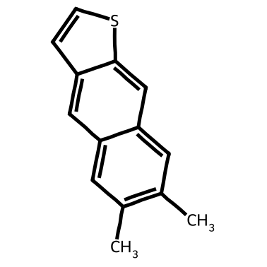 Cc1cc2cc3ccsc3cc2cc1C